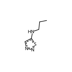 CCCNc1cnns1